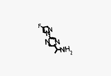 CC(N)c1cnc(-n2cc(F)cn2)cn1